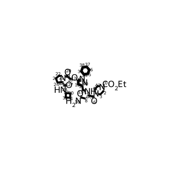 CCOC(=O)N1CCN(C(=O)[C@H](CCN)NC(=O)c2cc(OCC(=O)N3CCC[C@H]3C(=O)NC3CCC3)n(-c3ccccc3)n2)CC1